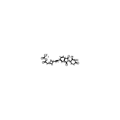 O=C1CCC(N2C(=O)c3ccc(C#CC4CN(CC(=O)OC(=O)C(F)(F)F)C4)cc3C2=O)C(=O)N1